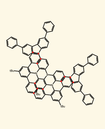 CC(C)(C)c1cc(-c2ccccc2)c(N2c3cc(-n4c5ccc(-c6ccccc6)cc5c5cc(-c6ccccc6)ccc54)ccc3B3c4ccc(-n5c6ccc(-c7ccccc7)cc6c6cc(-c7ccccc7)ccc65)cc4N(c4c(-c5ccccc5)cc(C(C)(C)C)cc4-c4ccccc4)c4cc(C(C)(C)C)cc2c43)c(-c2ccccc2)c1